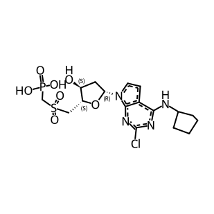 O=P(O)(O)CS(=O)(=O)C[C@H]1O[C@@H](n2ccc3c(NC4CCCC4)nc(Cl)nc32)C[C@@H]1O